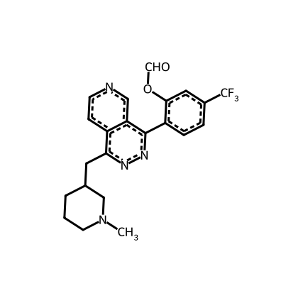 CN1CCCC(Cc2nnc(-c3ccc(C(F)(F)F)cc3OC=O)c3cnccc23)C1